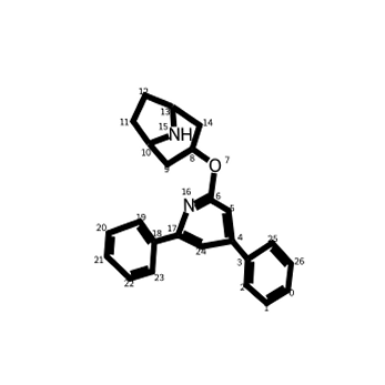 c1ccc(-c2cc(OC3CC4CCC(C3)N4)nc(-c3ccccc3)c2)cc1